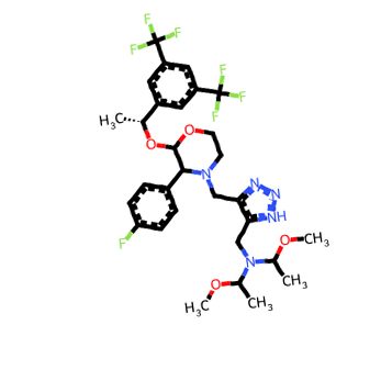 COC(C)N(Cc1[nH]nnc1CN1CCOC(O[C@H](C)c2cc(C(F)(F)F)cc(C(F)(F)F)c2)C1c1ccc(F)cc1)C(C)OC